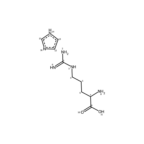 N=C(N)NCCCC(N)C(=O)O.c1c[nH]cn1